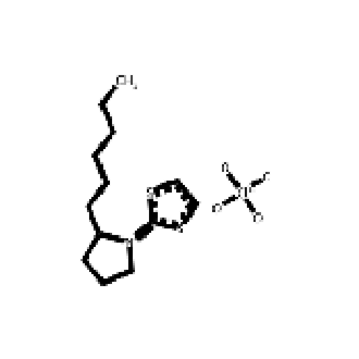 CCCCCCC1CCC[N+]1=c1sccs1.[O-][Cl+3]([O-])([O-])[O-]